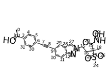 C[C@H](O)c1ccc(C#Cc2ccc3nn(CCC(C)(C(=O)NO)S(C)(=O)=O)cc3c2)cc1